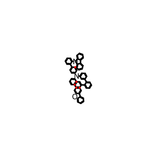 c1ccc(-c2ccccc2-c2cccc(N(c3ccc(-c4ccccc4-n4c5ccccc5c5ccccc54)cc3)c3cccc(-c4ccc5c(c4)oc4ccccc45)c3)c2)cc1